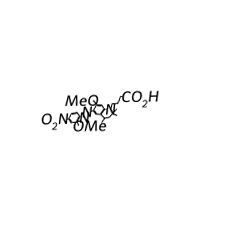 COc1cc([N+](=O)[O-])ccc1/N=N/c1cc2c(cc1OC)N(CCCC(=O)O)C(C)(C)CC2C